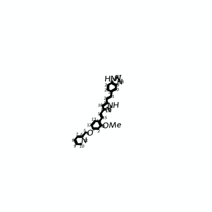 COc1cc(OCc2ccccn2)ccc1/C=C/c1cc(/C=C/c2ccc3[nH]nnc3c2)[nH]n1